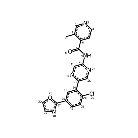 Cc1cnccc1C(=O)Nc1cnc(-c2cc(-c3ncco3)ccc2Cl)cn1